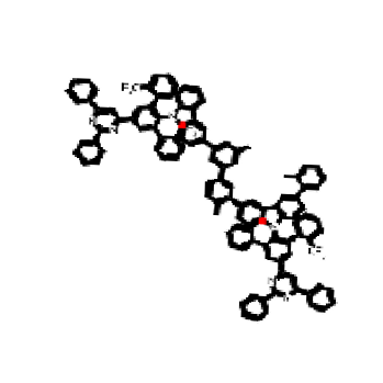 Cc1cc(-c2ccc(C)c(-c3ccc4c(c3)c3cc(-c5ccccc5C)ccc3n4-c3c(-c4ccccc4C(F)(F)F)cc(-c4cc(-c5ccccc5)nc(-c5ccccc5)n4)cc3-c3ccccc3C(F)(F)F)c2)cc(-c2ccc3c(c2)c2ccccc2n3-c2c(-c3ccccc3C(F)(F)F)cc(-c3cc(-c4ccccc4)nc(-c4ccccc4)n3)cc2-c2ccccc2C(F)(F)F)c1